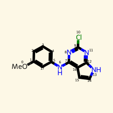 COc1cccc(Nc2nc(Cl)nc3[nH]ccc23)c1